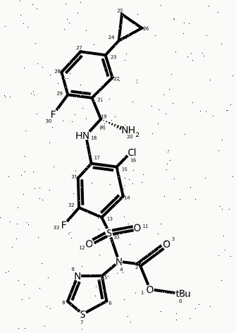 CC(C)(C)OC(=O)N(c1cscn1)S(=O)(=O)c1cc(Cl)c(N[C@@H](N)c2cc(C3CC3)ccc2F)cc1F